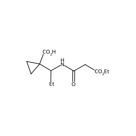 CCOC(=O)CC(=O)NC(CC)C1(C(=O)O)CC1